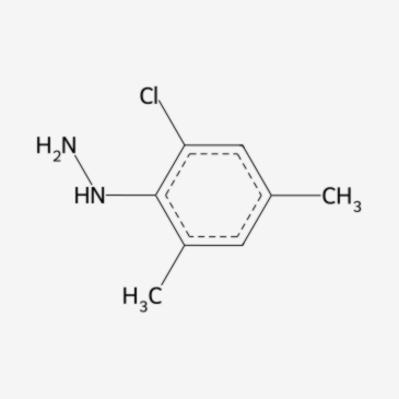 Cc1cc(C)c(NN)c(Cl)c1